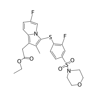 CCOC(=O)Cc1c(C)c(Sc2ccc(S(=O)(=O)N3CCOCC3)cc2F)n2cc(F)ccc12